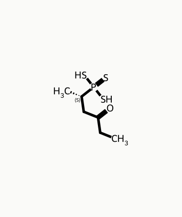 CCC(=O)C[C@H](C)P(=S)(S)S